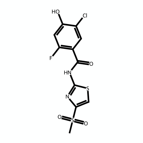 CS(=O)(=O)c1csc(NC(=O)c2cc(Cl)c(O)cc2F)n1